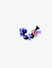 CN(c1ccc(S(=O)(=O)NCC2CC2)cn1)[C@@H]1CCN(c2ncnc3[nH]ccc23)C1